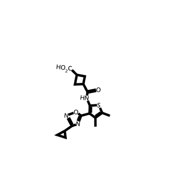 Cc1sc(NC(=O)C2CC(C(=O)O)C2)c(-c2nc(C3CC3)no2)c1C